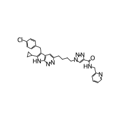 O=C(NCc1ccccn1)c1cn(CCCCc2cc3c(Cc4ccc(Cl)cc4)c(C4CC4)[nH]c3nn2)nn1